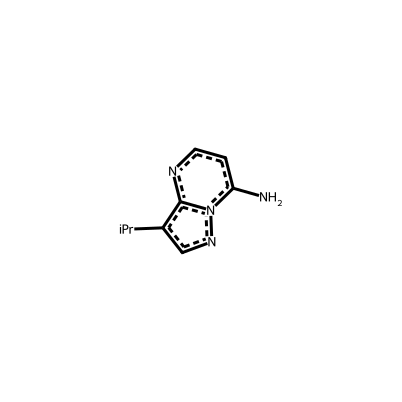 CC(C)c1cnn2c(N)ccnc12